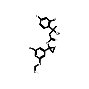 CC(O)(CC(=O)NC1(c2cc(Br)cc(OCC(F)(F)F)c2)CC1)c1ccc(F)cc1F